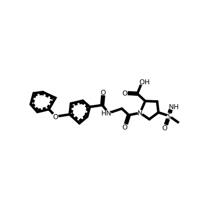 CS(=N)(=O)C1CC(C(=O)O)N(C(=O)CNC(=O)c2ccc(Oc3ccccc3)cc2)C1